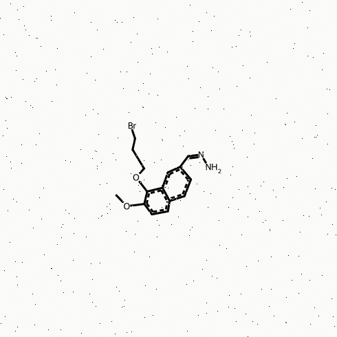 COc1ccc2ccc(/C=N\N)cc2c1OCCCBr